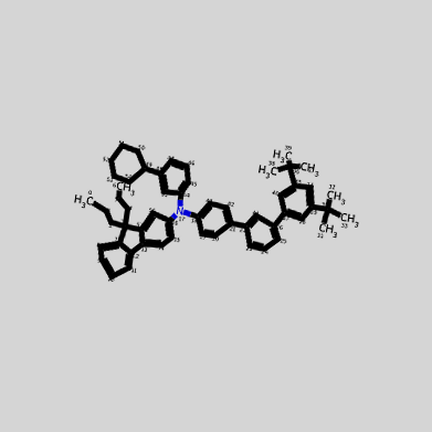 CCCC1(CCC)c2ccccc2-c2ccc(N(c3ccc(-c4cccc(-c5cc(C(C)(C)C)cc(C(C)(C)C)c5)c4)cc3)c3cccc(C4CCCCC4)c3)cc21